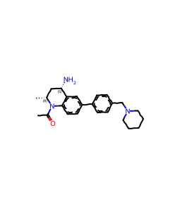 CC(=O)N1c2ccc(-c3ccc(CN4CCCCC4)cc3)cc2[C@@H](N)C[C@H]1C